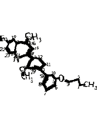 CCCCOc1cccc(-c2ccc(-c3cc(C)c4cc(F)ccc4n3)c(OC)c2)c1